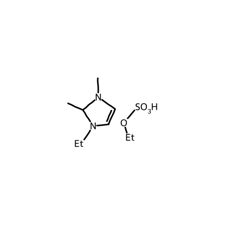 CCN1C=CN(C)C1C.CCOS(=O)(=O)O